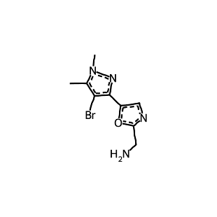 Cc1c(Br)c(-c2cnc(CN)o2)nn1C